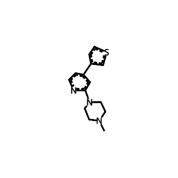 CN1CCN(c2cc(-c3ccsc3)ccn2)CC1